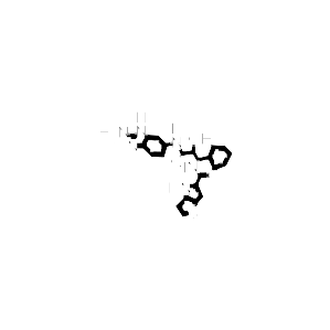 Nc1nc2ccc(NC(=O)C(O)C(NC(=O)c3cc4sccc4[nH]3)c3ccccc3)cc2[nH]1